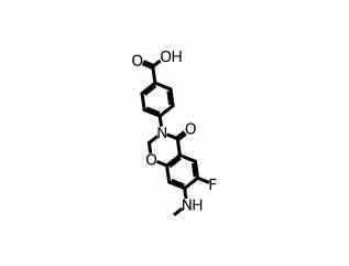 CNc1cc2c(cc1F)C(=O)N(c1ccc(C(=O)O)cc1)CO2